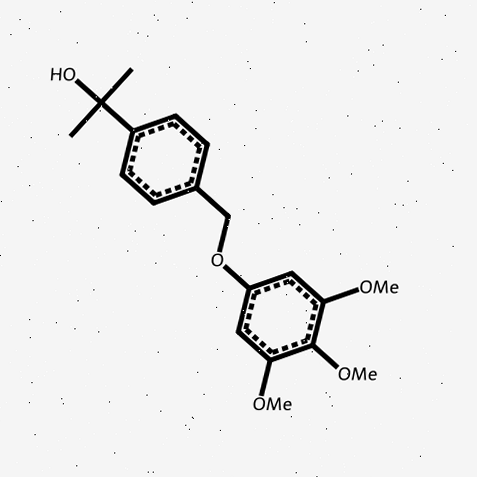 COc1cc(OCc2ccc(C(C)(C)O)cc2)cc(OC)c1OC